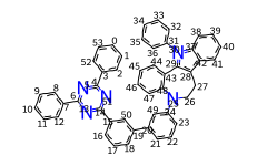 c1ccc(-c2nc(-c3ccccc3)nc(-c3cccc(-c4cccc(N5CCc6c(n(-c7ccccc7)c7ccccc67)-c6ccccc65)c4)c3)n2)cc1